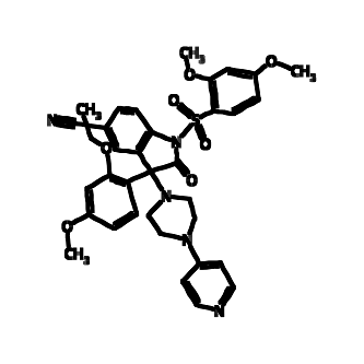 CCOc1cc(OC)ccc1C1(N2CCN(c3ccncc3)CC2)C(=O)N(S(=O)(=O)c2ccc(OC)cc2OC)c2ccc(C#N)cc21